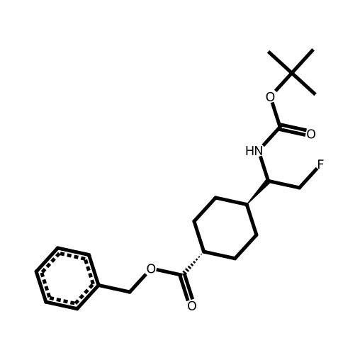 CC(C)(C)OC(=O)NC(CF)[C@H]1CC[C@H](C(=O)OCc2ccccc2)CC1